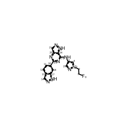 FCCn1cc(Nc2nc(-c3ccc4cn[nH]c4c3)nc3cn[nH]c23)cn1